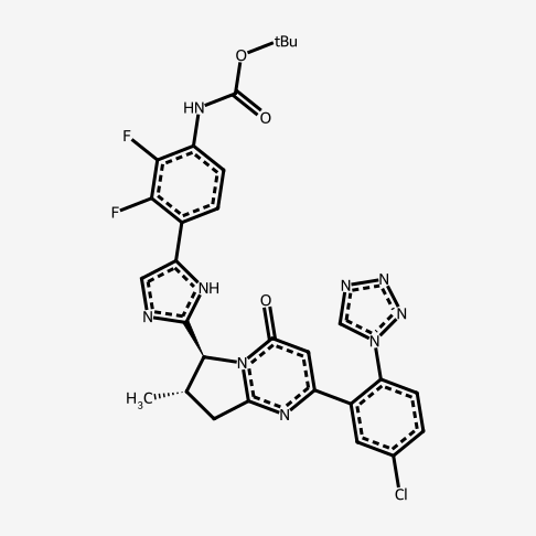 C[C@H]1Cc2nc(-c3cc(Cl)ccc3-n3cnnn3)cc(=O)n2[C@@H]1c1ncc(-c2ccc(NC(=O)OC(C)(C)C)c(F)c2F)[nH]1